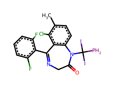 Cc1ccc2c(c1Cl)C(c1c(F)cccc1F)=NCC(=O)N2C(P)(I)I